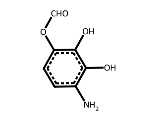 Nc1ccc(OC=O)c(O)c1O